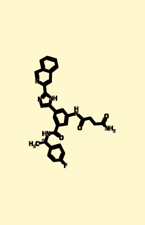 C[C@@H](NC(=O)c1cc(NC(=O)CCC(N)=O)cc(-c2cnc(-c3cc4ccccc4cn3)[nH]2)c1)c1ccc(F)cc1